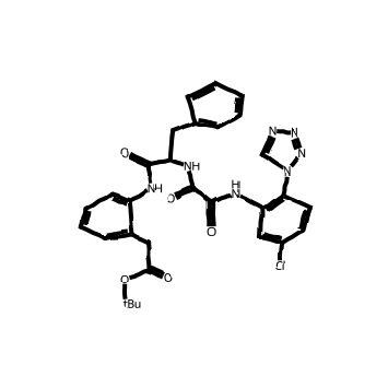 CC(C)(C)OC(=O)Cc1ccccc1NC(=O)C(Cc1ccccc1)NC(=O)C(=O)Nc1cc(Cl)ccc1-n1cnnn1